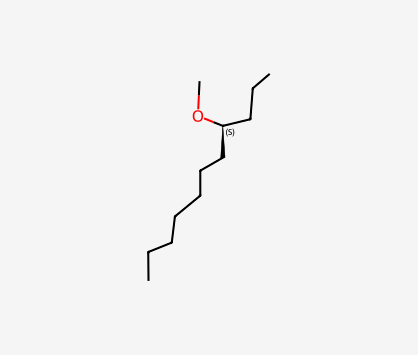 CCCCCCC[C@H](CCC)OC